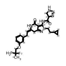 CC(F)(P)COc1cccc(C/C=C2\Cc3nn(CCC4CC4)c(NC(=O)C4CNN=N4)c3C(=O)N2)c1